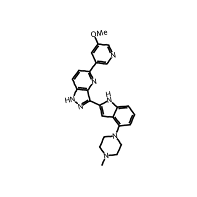 COc1cncc(-c2ccc3[nH]nc(-c4cc5c(N6CCN(C)CC6)cccc5[nH]4)c3n2)c1